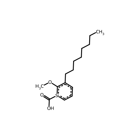 CCCCCCCCc1ccc[si](C(=O)O)c1OC